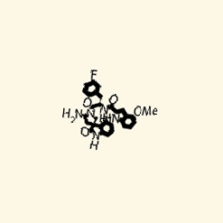 COc1cccc2[nH]c(C(=O)N[C@@H](Cc3cccc(F)c3)C(=O)N3C[C@]4(C[C@H]3N)C(=O)Nc3ccccc34)cc12